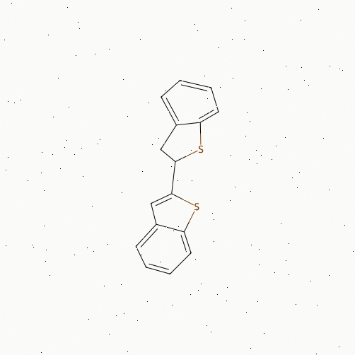 c1ccc2c(c1)CC(c1cc3ccccc3s1)S2